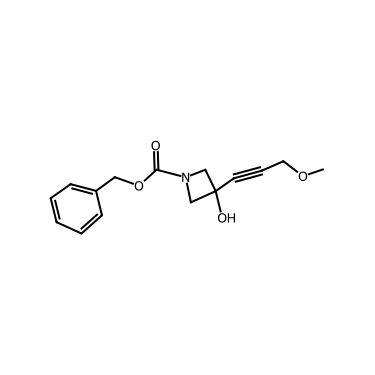 COCC#CC1(O)CN(C(=O)OCc2ccccc2)C1